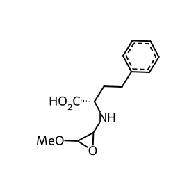 COC1OC1N[C@@H](CCc1ccccc1)C(=O)O